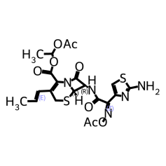 C/C=C/C1=C(C(=O)OC(C)OC(C)=O)N2C(=O)[C@@H](NC(=O)/C(=N\OC(C)=O)c3csc(N)n3)[C@@H]2SC1